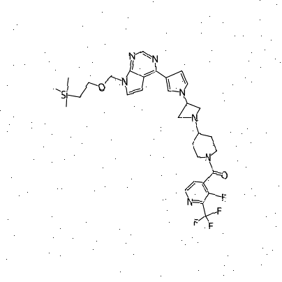 C[Si](C)(C)CCOCn1ccc2c(-c3ccn(C4CN(C5CCN(C(=O)c6ccnc(C(F)(F)F)c6F)CC5)C4)c3)ncnc21